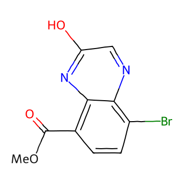 COC(=O)c1ccc(Br)c2ncc(O)nc12